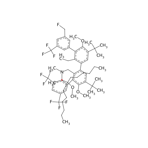 CCCCCCC(CCCCCC)(OC)[C@H](C)N(C)Cc1c(-c2cc(C(C)(C)C)c(OC)c(-c3cc(CF)cc(C(F)(F)F)c3)c2CC)cc(C(C)(C)C)c(OC)c1-c1cc(C(F)(F)F)cc(C(F)(F)F)c1